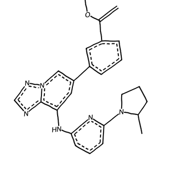 C=C(OC)c1cccc(-c2cc(Nc3cccc(N4CCCC4C)n3)c3ncnn3c2)c1